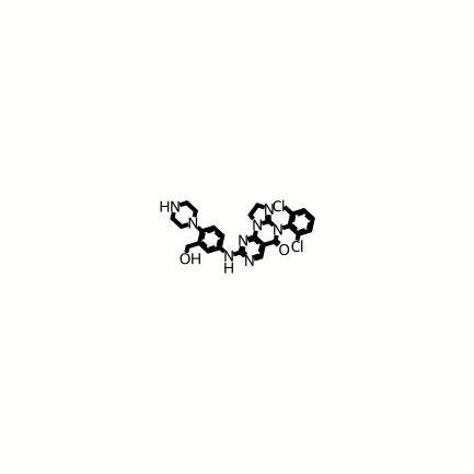 O=C1c2cnc(Nc3ccc(N4CCNCC4)c(CO)c3)nc2N2CCN=C2N1c1c(Cl)cccc1Cl